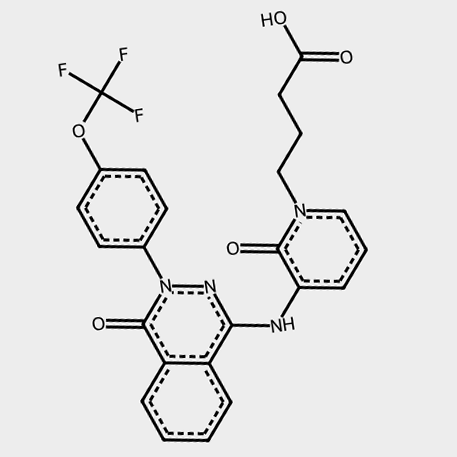 O=C(O)CCCn1cccc(Nc2nn(-c3ccc(OC(F)(F)F)cc3)c(=O)c3ccccc23)c1=O